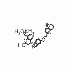 CN(C)Cc1cncc(C(CC(=O)O)n2ncc3cc(OCCc4ccc5c(n4)CCCN5)ccc32)c1